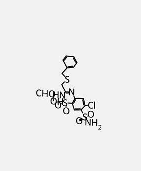 NS(=O)(=O)c1cc2c(cc1Cl)N=C(CSCc1ccccc1)NS2(=O)=O.O=CO